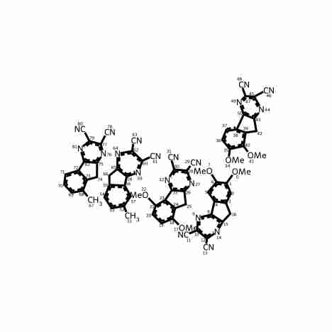 COc1cc2c(cc1OC)-c1nc(C#N)c(C#N)nc1C2.COc1ccc(OC)c2c1Cc1nc(C#N)c(C#N)nc1-2.COc1ccc2c(c1OC)Cc1nc(C#N)c(C#N)nc1-2.Cc1ccc2c(c1)-c1nc(C#N)c(C#N)nc1C2.Cc1cccc2c1Cc1nc(C#N)c(C#N)nc1-2